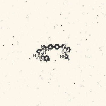 CN(C(=O)O)[C@@H](C(=O)N1CCC[C@H]1c1ncc(-c2ccc(-c3ccc(-c4cnc([C@@H]5CCCN5C(=O)[C@@H]5C[C@H](F)CN5)[nH]4)cc3)cc2)[nH]1)c1ccccc1